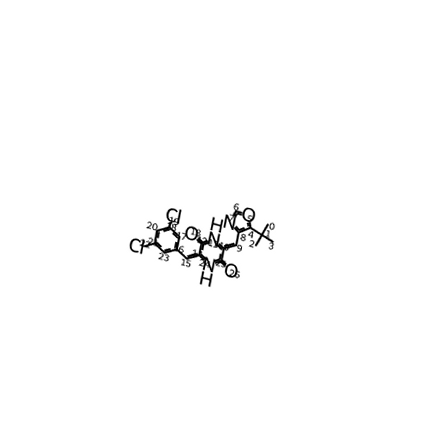 CC(C)(C)c1ocnc1C=c1[nH]c(=O)c(=Cc2cc(Cl)cc(Cl)c2)[nH]c1=O